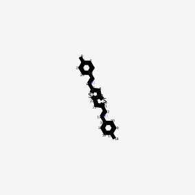 Cc1ccc(/C=C/c2cc3sc(/C=C/c4ccc(C)cc4)cc3s2)cc1